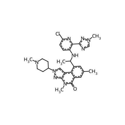 Cc1cc(C(C)Nc2ccc(Cl)nc2-c2ncn(C)n2)c2c(c1)c(=O)n(C)c1nn(C3CCN(C)CC3)cc21